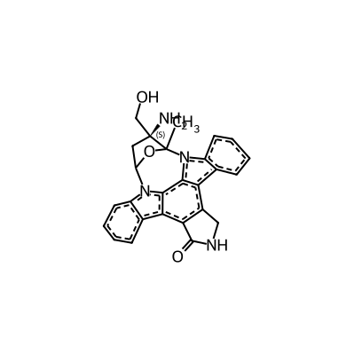 CC12OC(C[C@]1(N)CO)n1c3ccccc3c3c4c(c5c6ccccc6n2c5c31)CNC4=O